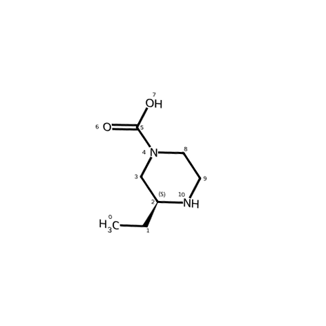 CC[C@H]1CN(C(=O)O)CCN1